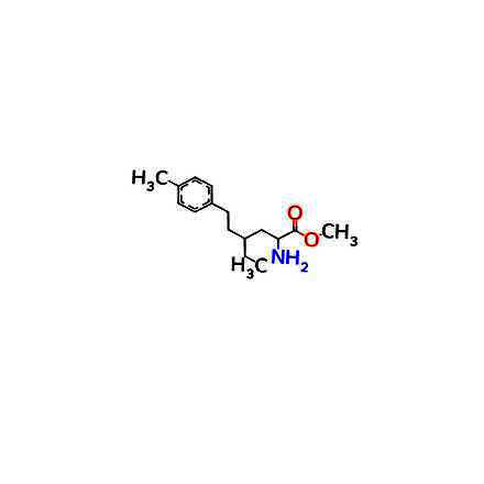 CCC(CCc1ccc(C)cc1)CC(N)C(=O)OC